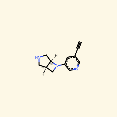 C#Cc1cncc(N2C[C@H]3CNC[C@H]32)c1